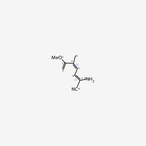 C=C(OC)/C(C)=C\C=C(/N)C#N